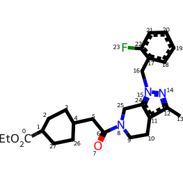 CCOC(=O)C1CCC(CC(=O)N2CCc3c(C)nn(Cc4ccccc4F)c3C2)CC1